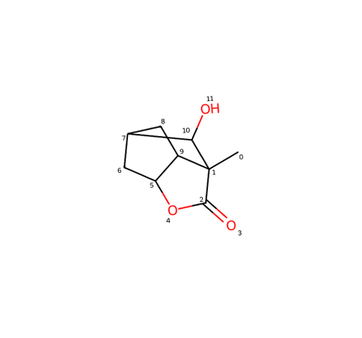 CC12C(=O)OC3CC(CC31)C2O